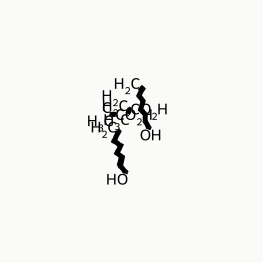 C=C(C)C(=O)O.C=C(C)C(=O)O.C=CCCCC=CCO.C=CCCCCCCO